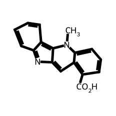 Cn1c2c3ccccc3nc-2cc2c(C(=O)O)cccc21